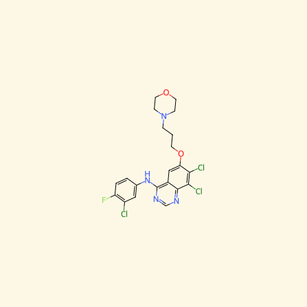 Fc1ccc(Nc2ncnc3c(Cl)c(Cl)c(OCCCN4CCOCC4)cc23)cc1Cl